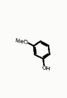 COc1[c]ccc(O)c1